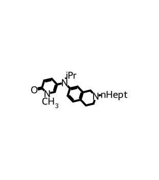 CCCCCCCN1CCc2ccc(N(c3ccc(=O)n(C)c3)C(C)C)cc2C1